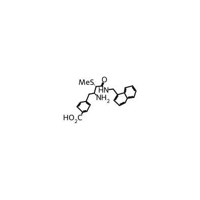 CS[C@H](C(=O)NCc1cccc2ccccc12)[C@@H](N)Cc1ccc(C(=O)O)cc1